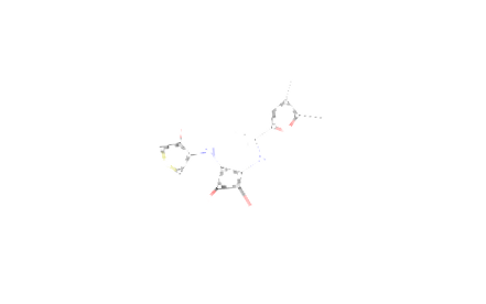 Cc1cc([C@H](Nc2c(Nc3cscc3O)c(=O)c2=O)C(C)(C)C)oc1C